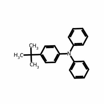 CC(C)(C)c1ccc(N(c2ccccc2)c2ccccc2)cc1